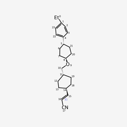 CCc1ccc([C@H]2CC[C@H](OC[C@H]3CC[C@H](/C=C/C#N)CC3)CC2)cc1